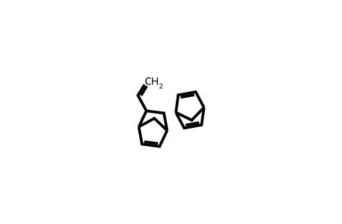 C1=CC2C=CC1C2.C=CC1CC2C=CC1C2